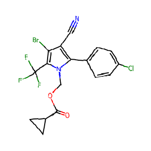 N#Cc1c(Br)c(C(F)(F)F)n(COC(=O)C2CC2)c1-c1ccc(Cl)cc1